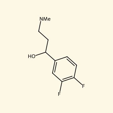 CNCCC(O)c1ccc(F)c(F)c1